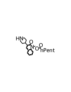 CCCCCC(=O)OCn1c(=O)c(C2CCNCC2)cc2ccccc21